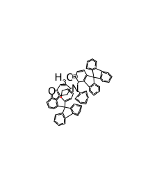 C[C@H]1C=CC2=C(c3ccccc3C23c2ccccc2-c2ccccc23)C1N(c1ccccc1)C1C=Cc2oc3cccc(C4(C5=CC=CCC5)c5ccccc5-c5ccccc54)c3c2C1